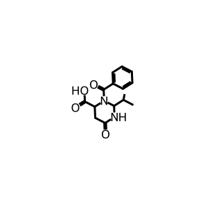 CC(C)C1NC(=O)CC(C(=O)O)N1C(=O)c1ccccc1